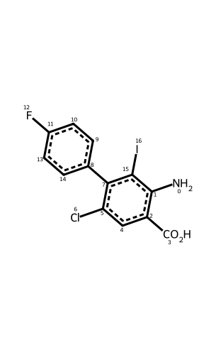 Nc1c(C(=O)O)cc(Cl)c(-c2ccc(F)cc2)c1I